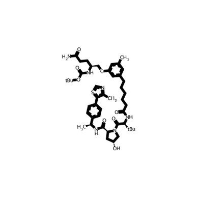 Cc1cc(CCCCCC(=O)N[C@H](C(=O)N2C[C@H](O)C[C@H]2C(=O)N[C@@H](C)c2ccc(-c3scnc3C)cc2)C(C)(C)C)cc(OC[C@H](CCC(N)=O)NC(=O)OC(C)(C)C)c1